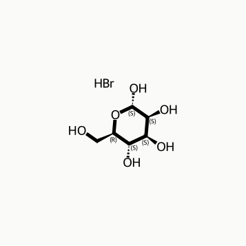 Br.OC[C@H]1O[C@H](O)[C@@H](O)[C@@H](O)[C@@H]1O